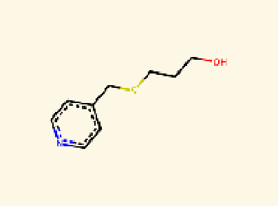 OCCCSCc1ccncc1